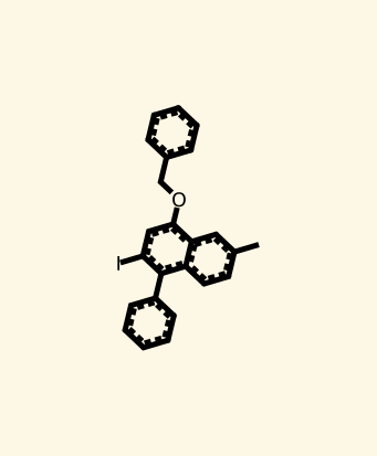 Cc1ccc2c(-c3ccccc3)c(I)cc(OCc3ccccc3)c2c1